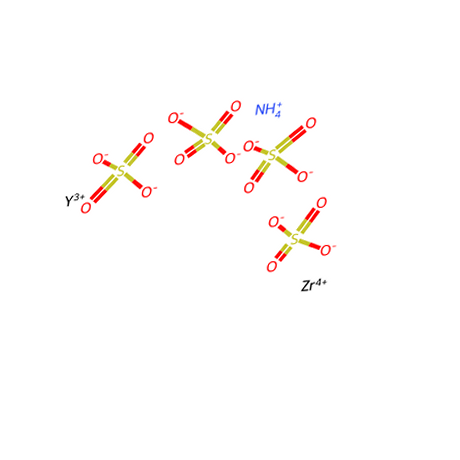 O=S(=O)([O-])[O-].O=S(=O)([O-])[O-].O=S(=O)([O-])[O-].O=S(=O)([O-])[O-].[NH4+].[Y+3].[Zr+4]